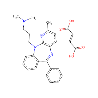 Cc1ccc2c(n1)N(CCCN(C)C)c1ccccc1C(c1ccccc1)=N2.O=C(O)/C=C/C(=O)O